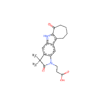 CC1(C)C(=O)N(CCC(=O)O)c2cc3c4c([nH]c3cc21)C(=O)CCCC4